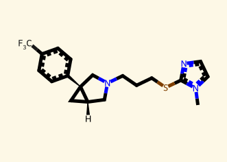 Cn1ccnc1SCCCN1C[C@@H]2C[C@]2(c2ccc(C(F)(F)F)cc2)C1